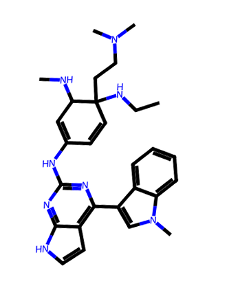 CCNC1(CCN(C)C)C=CC(Nc2nc(-c3cn(C)c4ccccc34)c3cc[nH]c3n2)=CC1NC